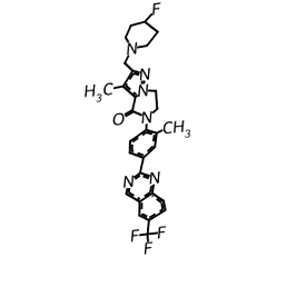 Cc1cc(-c2ncc3cc(C(F)(F)F)ccc3n2)ccc1N1CCn2nc(CN3CCC(F)CC3)c(C)c2C1=O